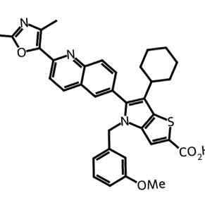 COc1cccc(Cn2c(-c3ccc4nc(-c5oc(C)nc5C)ccc4c3)c(C3CCCCC3)c3sc(C(=O)O)cc32)c1